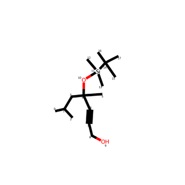 CC(C)CC(C)(C#CCO)O[Si](C)(C)C(C)(C)C